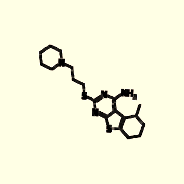 CC1CCCc2sc3nc(SCCCN4CCCCC4)nc(N)c3c21